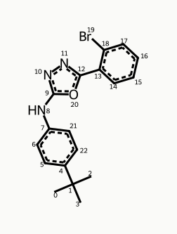 CC(C)(C)c1ccc(Nc2nnc(-c3ccccc3Br)o2)cc1